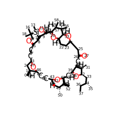 C=C1CC2CCC(=O)/C=C/[C@H](O[Si](C)(C)C(C)(C)C)[C@@H]3O[C@H]4CCC(CC(=O)C[C@@H]5[C@@H](C)[C@@H](C[C@H](C)CC)O[C@H]5C[C@H]5O[C@@H](CC[C@@H]1O2)C[C@@H](C)C5=C)O[C@@H]4[C@H](C)[C@@H]3C